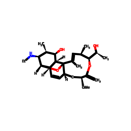 C=C1O[C@H]([C@@H](C)O)[C@H](C)/C=C(\C)[C@]23O[C@@H]4[C@H](C=C[C@@H]2C[C@@H]1OC)[C@H]3[C@H](O)[C@@H](C)[C@@H]4NCC